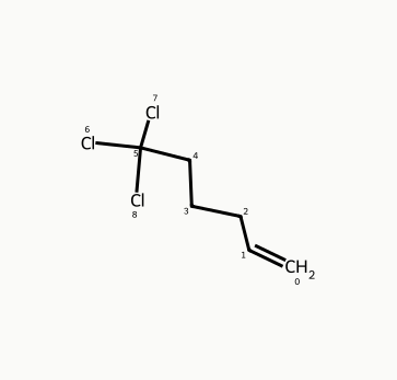 C=CCCCC(Cl)(Cl)Cl